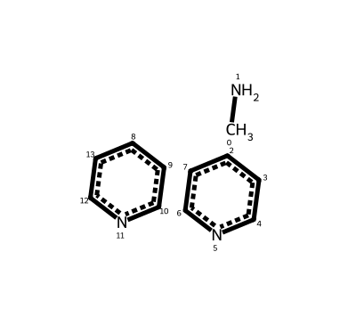 CN.c1ccncc1.c1ccncc1